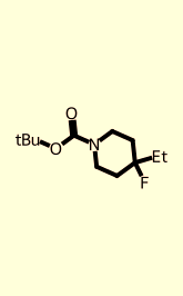 CCC1(F)CCN(C(=O)OC(C)(C)C)CC1